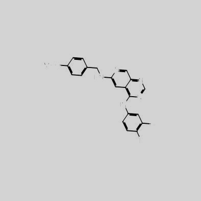 COc1ccc(CNc2cc3c(Nc4ccc(F)c(Br)c4)ncnc3cn2)cc1